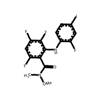 CON(C)C(=O)c1c(F)cc(F)c(F)c1Nc1ccc(I)cc1F